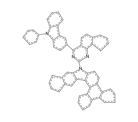 c1ccc(-n2c3ccccc3c3cc(-c4nc(-n5c6cc7ccccc7cc6c6c7c8ccccc8c8ccccc8c7ccc65)nc5c4ccc4ccccc45)ccc32)cc1